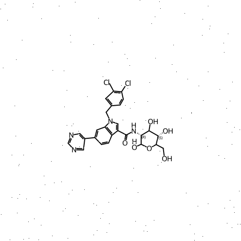 O=C(N[C@H]1C(O)OC(CO)[C@@H](O)C1O)c1cn(Cc2ccc(Cl)c(Cl)c2)c2cc(-c3cncnc3)ccc12